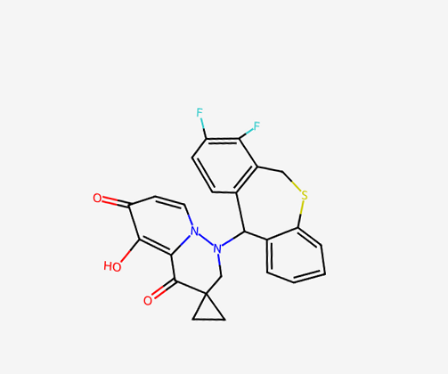 O=C1c2c(O)c(=O)ccn2N(C2c3ccccc3SCc3c2ccc(F)c3F)CC12CC2